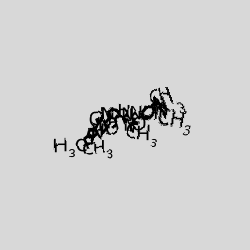 Cc1nn(C)c2ccc(Nc3nc(-c4ccnc(N5CCn6c(cc7c6CC(C)(C)C7)C5=O)c4CO)cn(C)c3=O)cc12